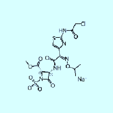 COC(=O)[C@@H]1[C@H](NC(=O)C(=NOC(C)C)c2csc(NC(=O)CCl)n2)C(=O)N1S(=O)(=O)[O-].[Na+]